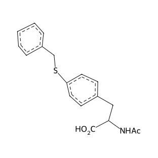 CC(=O)NC(Cc1ccc(SCc2ccccc2)cc1)C(=O)O